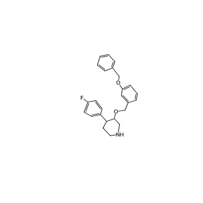 Fc1ccc(C2CCNCC2OCc2cccc(OCc3ccccc3)c2)cc1